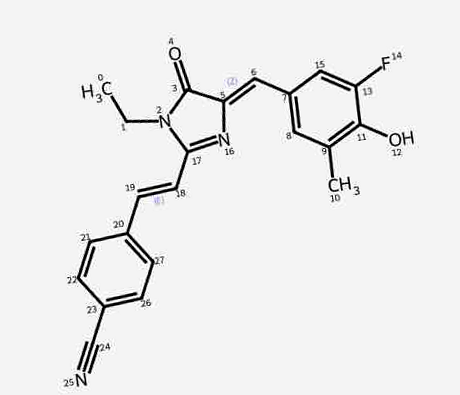 CCN1C(=O)/C(=C/c2cc(C)c(O)c(F)c2)N=C1/C=C/c1ccc(C#N)cc1